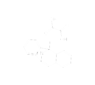 CC12NC(=CC3C=CC=CC31)c1ccccc12.O=C(O)C(=O)O